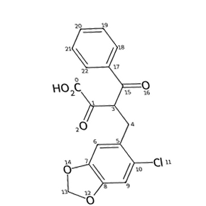 O=C(O)C(=O)C(Cc1cc2c(cc1Cl)OCO2)C(=O)c1ccccc1